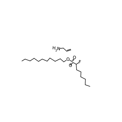 C=CCN.CCCCCCCCCCCOS(=O)(=O)C(F)CCCCCC